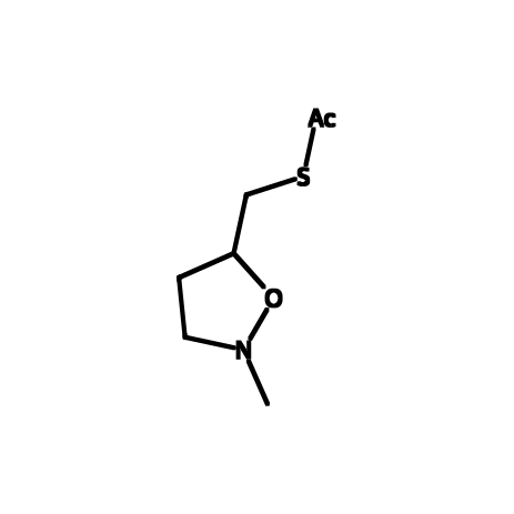 CC(=O)SCC1CCN(C)O1